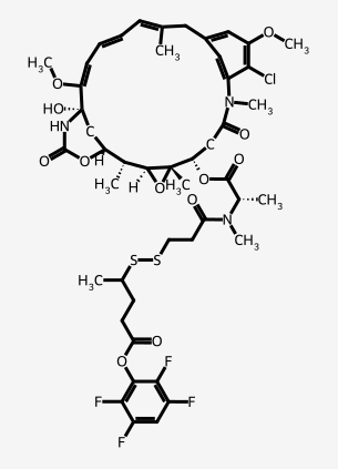 COC1=C/C=C/C=C(\C)Cc2cc(OC)c(Cl)c(c2)N(C)C(=O)C[C@H](OC(=O)[C@H](C)N(C)C(=O)CCSSC(C)CCC(=O)Oc2c(F)c(F)cc(F)c2F)[C@]2(C)O[C@H]2[C@H](C)[C@@H]2C[C@@]1(O)NC(=O)O2